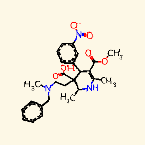 COC(=O)C1=C(C)NC(C)C(CCN(C)Cc2ccccc2)(C(=O)O)C1c1cccc([N+](=O)[O-])c1